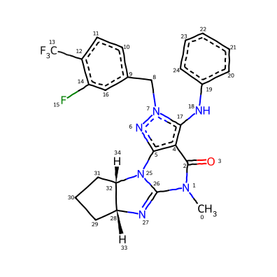 CN1C(=O)c2c(nn(Cc3ccc(C(F)(F)F)c(F)c3)c2Nc2ccccc2)N2C1=N[C@@H]1CCC[C@@H]12